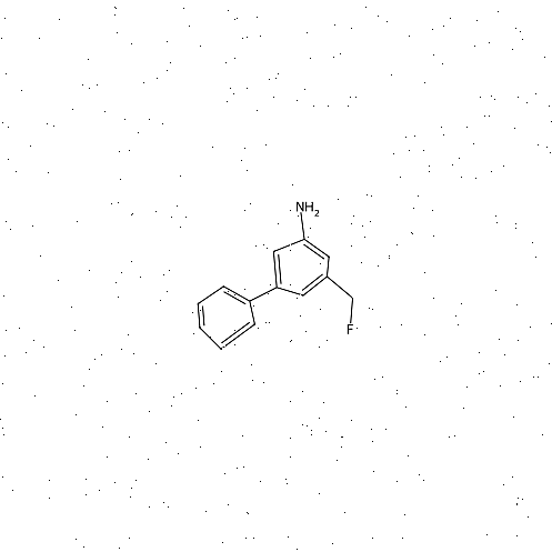 Nc1cc(CF)cc(-c2ccccc2)c1